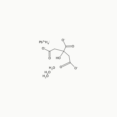 O.O.O.O=C([O-])CC(O)(CC(=O)[O-])C(=O)[O-].[PbH4+3]